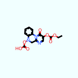 CCOC(=O)Oc1cnc2n(c1=O)-c1ccccc1N(OC(=O)O)C2